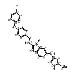 Cn1c(NCc2ccc(Oc3ncc(Cl)cn3)cc2)nc2ccc(Nc3cc(C(C)(C)C)[nH]n3)cc21